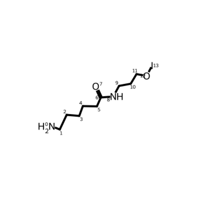 NCCCCCC(=O)NCCCOI